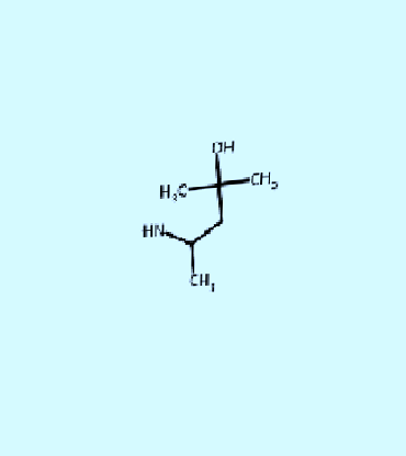 CC([NH])CC(C)(C)O